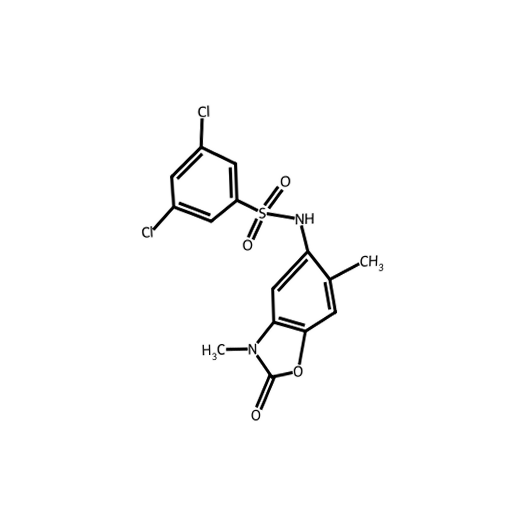 Cc1cc2oc(=O)n(C)c2cc1NS(=O)(=O)c1cc(Cl)cc(Cl)c1